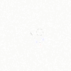 CN1C(=O)Nc2cc(Br)c(F)cc2[C@@]1(C#CC1CC1)C(C)(F)F